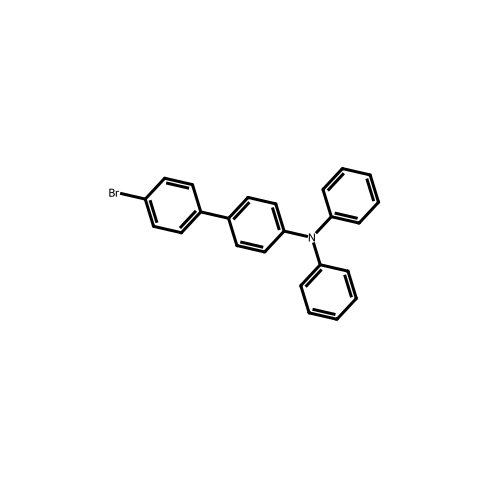 Brc1ccc(-c2ccc(N(c3ccccc3)c3ccccc3)cc2)cc1